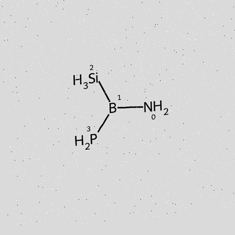 NB([SiH3])P